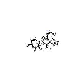 O=c1ccn([C@@H]2O[C@](/C=C\Cl)(CO)[C@@H](O)[C@H]2O)c(=O)[nH]1